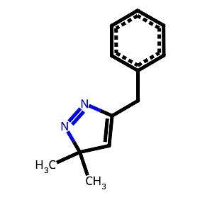 CC1(C)C=C(Cc2ccccc2)N=N1